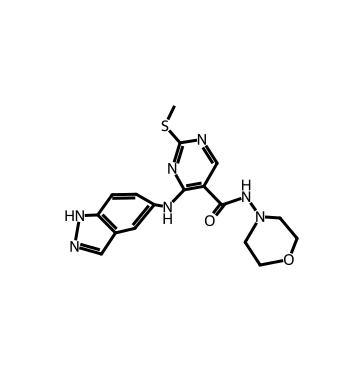 CSc1ncc(C(=O)NN2CCOCC2)c(Nc2ccc3[nH]ncc3c2)n1